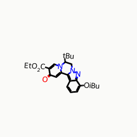 CCOC(=O)c1cn2c(cc1=O)-c1c3cccc(OCC(C)C)c3nn1CC2C(C)(C)C